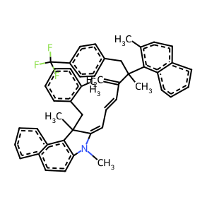 C=C(/C=C/C=C1/N(C)c2ccc3ccccc3c2C1(C)Cc1ccccc1C)C(C)(Cc1ccc(C(F)(F)F)cc1)c1c(C)ccc2ccccc12